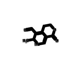 CC1NC=C2C(=O)OCCC2=C1C=O